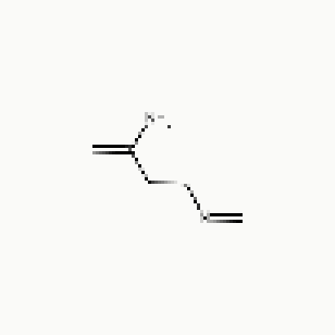 C=NCCC(=C)N